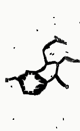 COCC1c2cc(Br)ccc2C(=O)N1C(C)(C)C